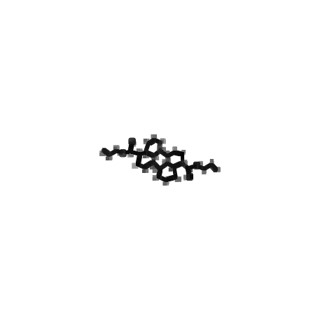 C=CCOC(=O)c1ccc2c3cccc4c(C(=O)OCC=C)ccc(c5cccc1c52)c43